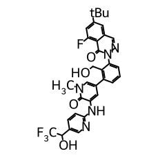 Cn1cc(-c2cccc(-n3ncc4cc(C(C)(C)C)cc(F)c4c3=O)c2CO)cc(Nc2ccc(C(O)C(F)(F)F)cn2)c1=O